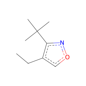 CCc1conc1C(C)(C)C